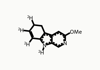 [2H]C1=C([2H])C([2H])Cc2c1n([2H])c1cnc(OC)cc21